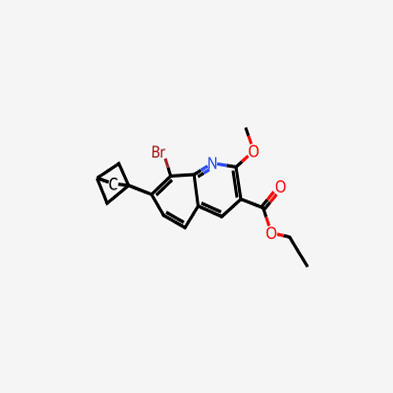 CCOC(=O)c1cc2ccc(C34CC(C3)C4)c(Br)c2nc1OC